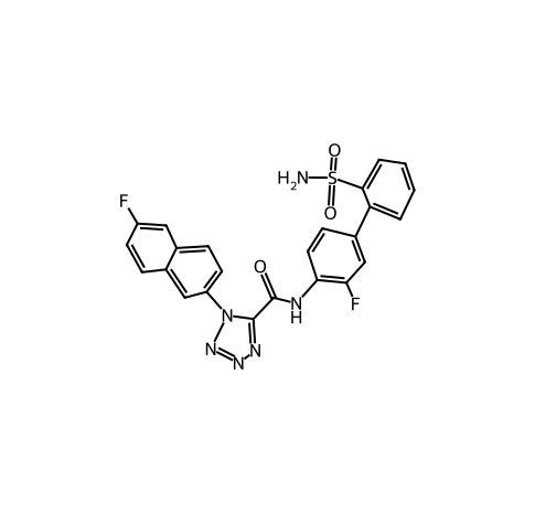 NS(=O)(=O)c1ccccc1-c1ccc(NC(=O)c2nnnn2-c2ccc3cc(F)ccc3c2)c(F)c1